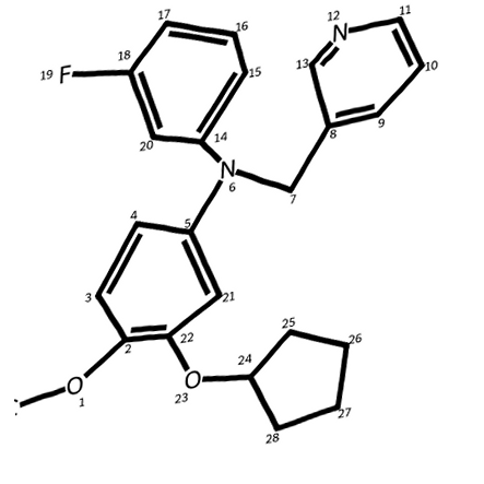 COc1ccc(N(Cc2cccnc2)c2cccc(F)c2)cc1OC1CCCC1